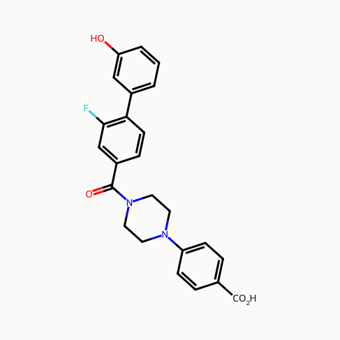 O=C(O)c1ccc(N2CCN(C(=O)c3ccc(-c4cccc(O)c4)c(F)c3)CC2)cc1